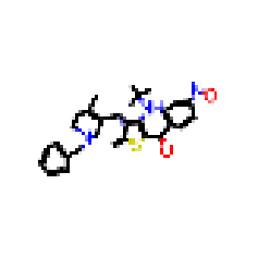 C=c1sc(C(=O)c2ccc(N=O)cc2)c(NC(C)(C)C)/c1=C/C1=C(C)CCN(Cc2ccccc2)C1